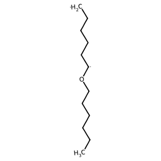 [CH2]CCCC[CH]OCCCCCC